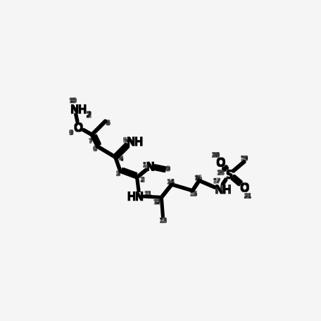 C=N/C(=C\C(=N)/C=C(\C)ON)NC(C)CCCNS(C)(=O)=O